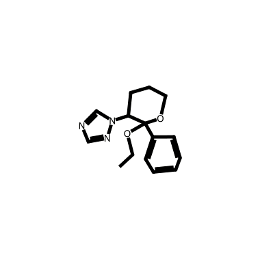 CCOC1(c2ccccc2)OCCCC1n1cncn1